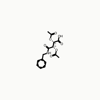 CC(=O)O[C@H](C(=O)O)[C@H](OC(C)=O)C(=O)NCc1ccccc1